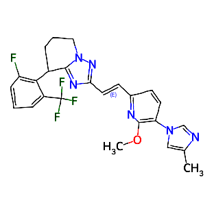 COc1nc(/C=C/c2nc3n(n2)CCCC3c2c(F)cccc2C(F)(F)F)ccc1-n1cnc(C)c1